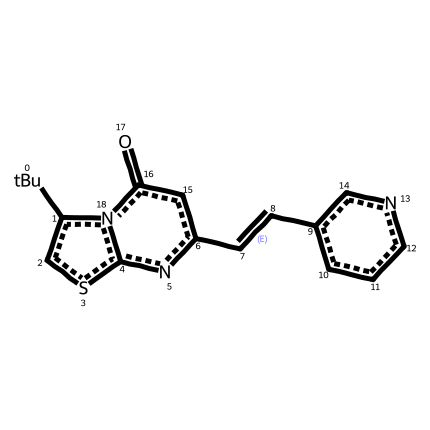 CC(C)(C)c1csc2nc(/C=C/c3cccnc3)cc(=O)n12